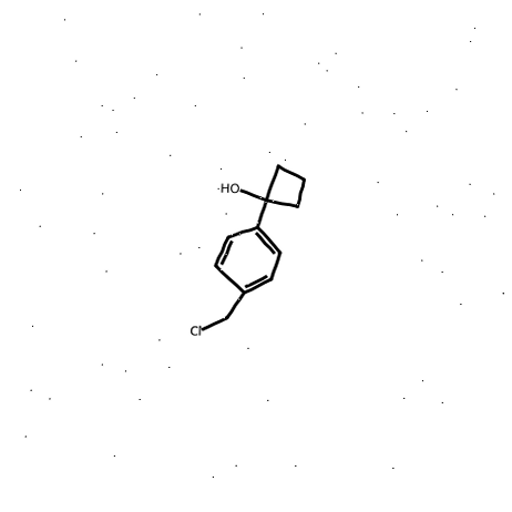 OC1(c2ccc(CCl)cc2)CCC1